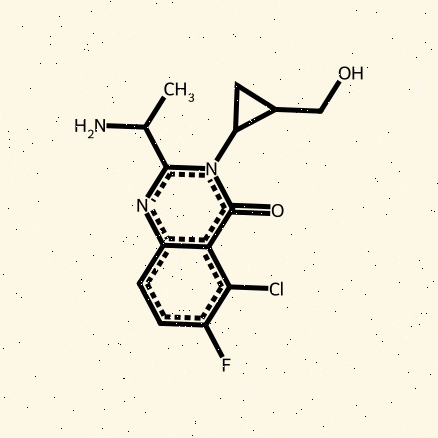 CC(N)c1nc2ccc(F)c(Cl)c2c(=O)n1C1CC1CO